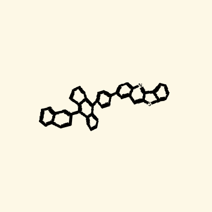 c1ccc2cc(-c3c4ccccc4c(-c4ccc(-c5ccc6nc7c(cc6c5)sc5ccccc57)cc4)c4ccccc34)ccc2c1